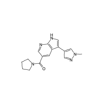 Cn1cc(-c2c[nH]c3ncc(C(=O)N4CCCC4)cc23)cn1